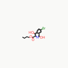 CCCCOC(=O)c1nc(O)c2cc(Br)ccc2c1O